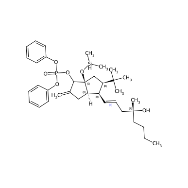 C=C1C[C@@H]2[C@H](/C=C/C[C@](C)(O)CCCC)[C@H](C(C)(C)C)C[C@@]2(O[SiH](C)C)C1OP(=O)(Oc1ccccc1)Oc1ccccc1